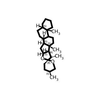 C[C@H]1CC[C@@]2(OC1)O[C@H]1C[C@H]3[C@@H]4CC[C@@H]5CCCC[C@]5(C)C4CC[C@]3(C)[C@H]1[C@@H]2C